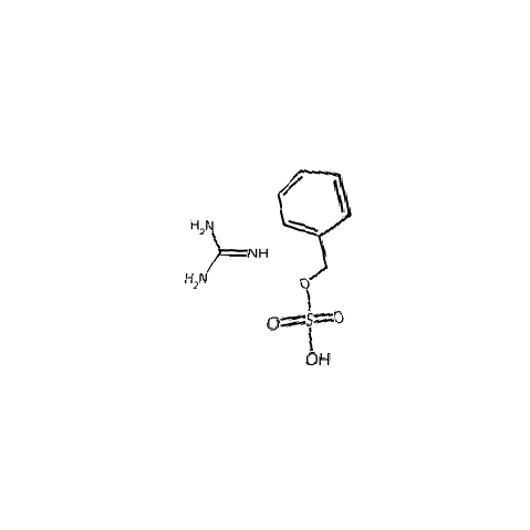 N=C(N)N.O=S(=O)(O)OCc1ccccc1